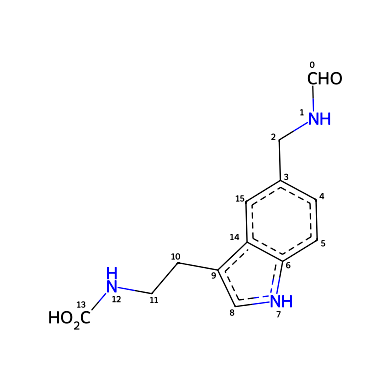 O=CNCc1ccc2[nH]cc(CCNC(=O)O)c2c1